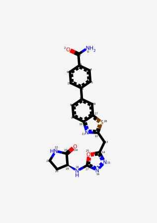 NC(=O)c1ccc(-c2ccc3nc(Cc4nnc(N[C@H]5CCNC5=O)o4)sc3c2)cc1